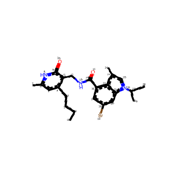 CCCCc1cc(C)[nH]c(=O)c1CNC(=O)c1cc(Br)cc2c1c(C)cn2C(C)C